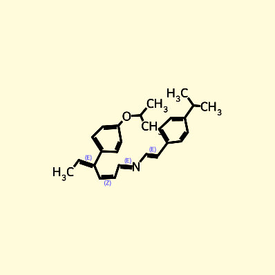 C\C=C(/C=C\C=N\C=C\c1ccc(C(C)C)cc1)c1ccc(OC(C)C)cc1